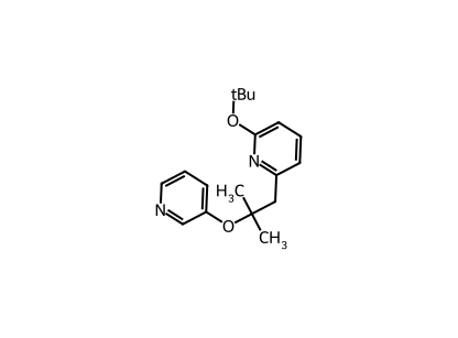 CC(C)(C)Oc1cccc(CC(C)(C)Oc2cccnc2)n1